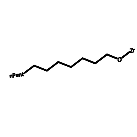 CCCCCCCCCCCC[O][Zr]